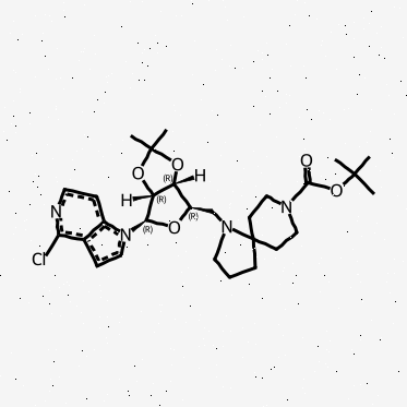 CC(C)(C)OC(=O)N1CCC2(CCCN2C[C@H]2O[C@@H](n3ccc4c(Cl)nccc43)[C@@H]3OC(C)(C)O[C@@H]32)CC1